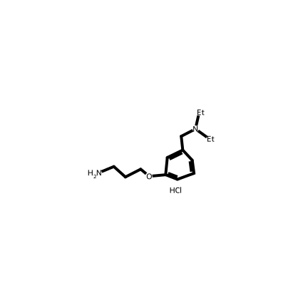 CCN(CC)Cc1cccc(OCCCN)c1.Cl